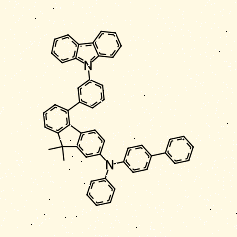 CC1(C)c2cc(N(c3ccccc3)c3ccc(-c4ccccc4)cc3)ccc2-c2c(-c3cccc(-n4c5ccccc5c5ccccc54)c3)cccc21